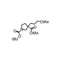 COCCCC1(C(=O)OC)CCN(C(=O)OC(C)(C)C)C1